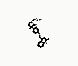 Cc1cc(COc2ccc(C3(C)CCN(CC=O)C3=O)cc2)c2ccccc2n1